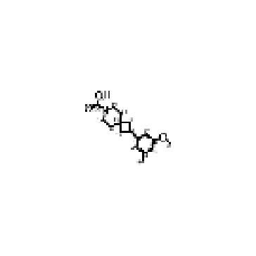 COc1cc(C)cc(C2CC3(CCN(C(=O)O)CC3)C2)c1